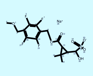 COCc1c(F)c(F)c(COC(=O)C2C(C(O)S(=O)(=O)[O-])C2(C)C)c(F)c1F.[Na+]